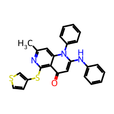 Cc1cc2c(c(Sc3ccsc3)n1)c(=O)cc(Nc1ccccc1)n2-c1ccccc1